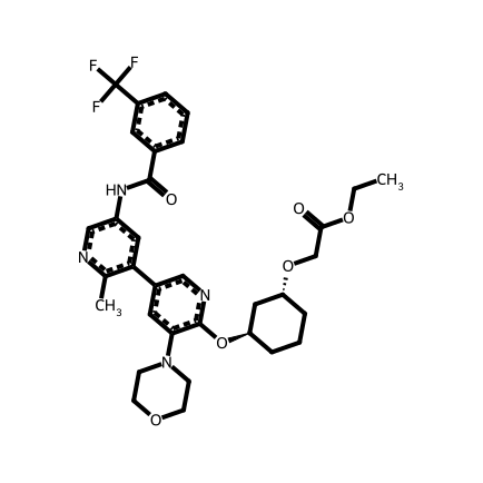 CCOC(=O)CO[C@@H]1CCC[C@@H](Oc2ncc(-c3cc(NC(=O)c4cccc(C(F)(F)F)c4)cnc3C)cc2N2CCOCC2)C1